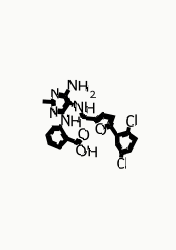 Cc1nc(N)c(NCc2ccc(-c3cc(Cl)ccc3Cl)o2)c(Nc2ccccc2C(=O)O)n1